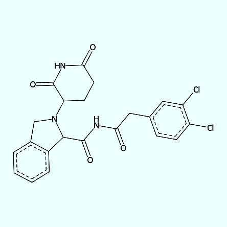 O=C1CCC(N2Cc3ccccc3C2C(=O)NC(=O)Cc2ccc(Cl)c(Cl)c2)C(=O)N1